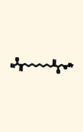 CCC(=O)NCCCCCCCCNC(=O)COC(C)C